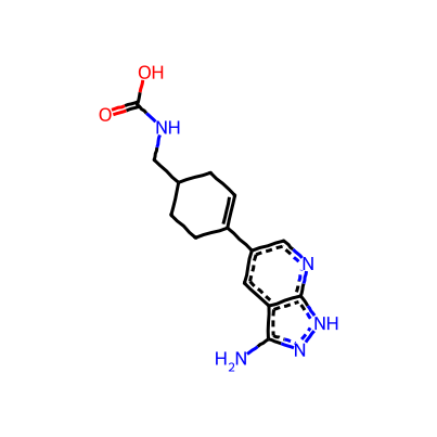 Nc1n[nH]c2ncc(C3=CCC(CNC(=O)O)CC3)cc12